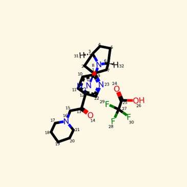 N[C@H]1C[C@H]2CC[C@@H](C1)N2c1ccc(C(=O)CN2CCCCC2)cn1.O=C(O)C(F)(F)F